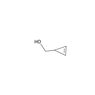 OCC1C=C1